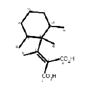 CC(=C(C(=O)O)C(=O)O)C1(C)C(C)CCCC1C